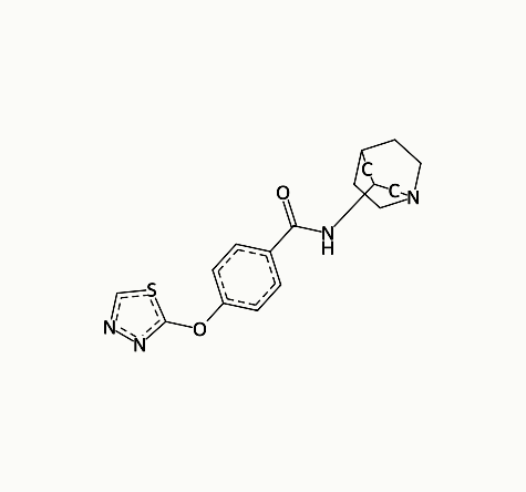 O=C(NC1CC2CCN(CC2)C1)c1ccc(Oc2nncs2)cc1